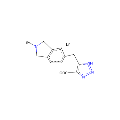 CC(C)N1Cc2ccc(Cc3[nH]nnc3C(=O)[O-])cc2C1.[Li+]